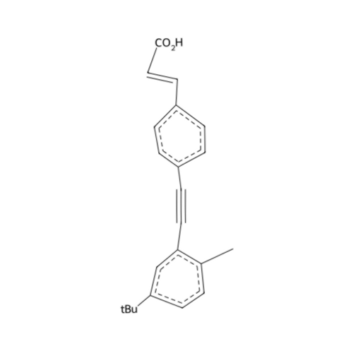 Cc1ccc(C(C)(C)C)cc1C#Cc1ccc(/C=C/C(=O)O)cc1